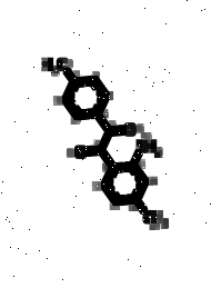 Cc1ccc(C(=O)C(=O)c2ccc(C)cc2N)cc1